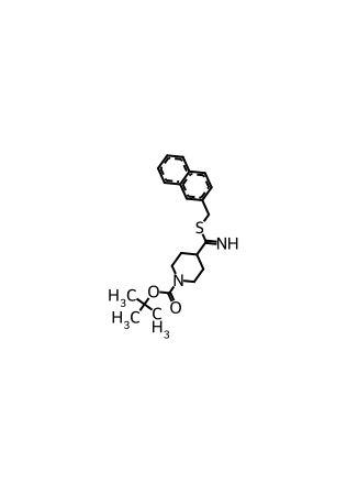 CC(C)(C)OC(=O)N1CCC(C(=N)SCc2ccc3ccccc3c2)CC1